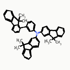 CC1(C)c2ccccc2-c2ccc(N(c3cccc(-c4cccc5c4C(C)(C)c4ccccc4-5)c3)c3ccc4c(c3)C(C)(C)c3ccccc3-4)cc21